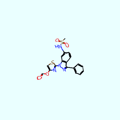 CS(=O)(=O)Nc1ccc2c(-c3ccccc3)nn(-c3nc(OC=O)cs3)c2c1